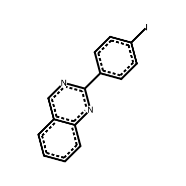 Ic1ccc(-c2ncc3ccccc3n2)cc1